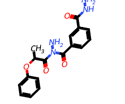 CC(Oc1ccccc1)C(=O)N(N)C(=O)c1cccc(C(=O)NN)c1